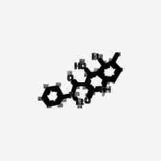 CCc1c(C)ccc2[nH]c(=O)c(C(=O)N(CC)c3ccccc3)c(O)c12